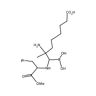 COC(=O)C(CC(C)C)NC(B(O)O)C(C)(N)CCCCCC(=O)O